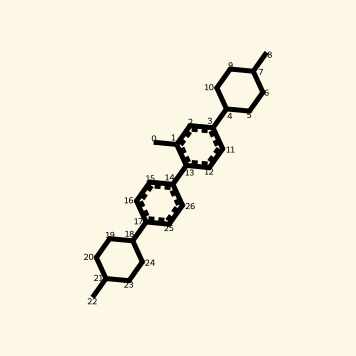 Cc1cc(C2CCC(C)CC2)ccc1-c1ccc(C2CCC(C)CC2)cc1